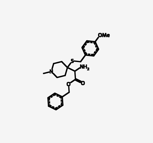 COc1ccc(CSC2(C(N)C(=O)OCc3ccccc3)CCN(C)CC2)cc1